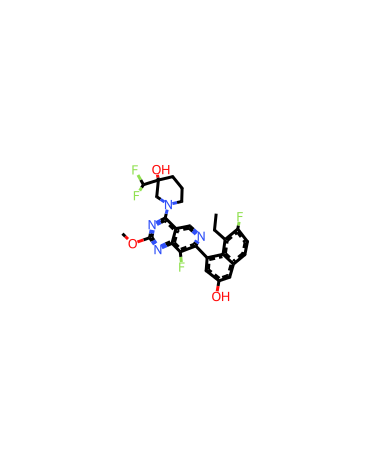 CCc1c(F)ccc2cc(O)cc(-c3ncc4c(N5CCCC(O)(C(F)F)C5)nc(OC)nc4c3F)c12